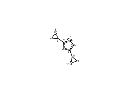 c1[se]c(C2CS2)cc1C1CS1